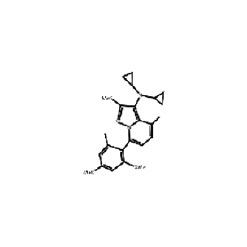 COc1cc(C)c(-c2ccc(C)c3c(N(C4CC4)C4CC4)c(SC)nn23)c(OC)c1